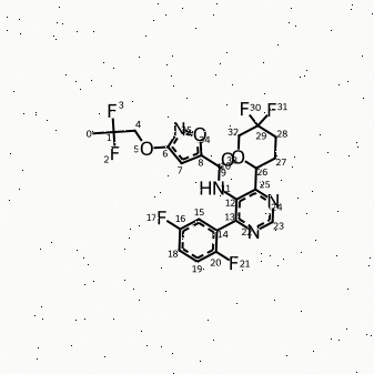 CC(F)(F)COc1cc(C(=O)Nc2c(-c3cc(F)ccc3F)ncnc2C2CCC(F)(F)CO2)on1